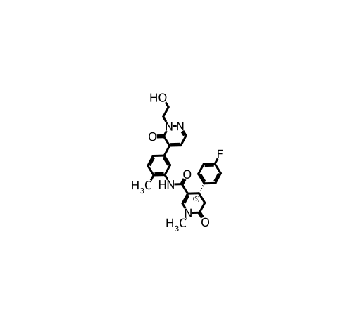 Cc1ccc(-c2ccnn(CCO)c2=O)cc1NC(=O)C1=CN(C)C(=O)C[C@H]1c1ccc(F)cc1